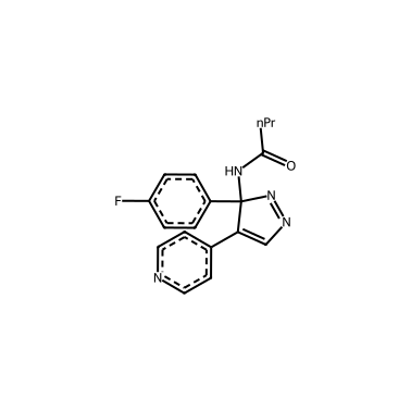 CCCC(=O)NC1(c2ccc(F)cc2)N=NC=C1c1ccncc1